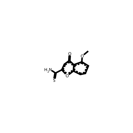 COc1cccc2oc(C(N)=S)cc(=O)c12